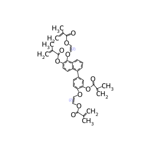 C=C(C)C(=O)O/C=C\Oc1ccc(-c2cccc3c(O/C=C\OC(=O)C(=C)C)c(OC(=O)C(=C)C)ccc23)cc1OC(=O)C(=C)C